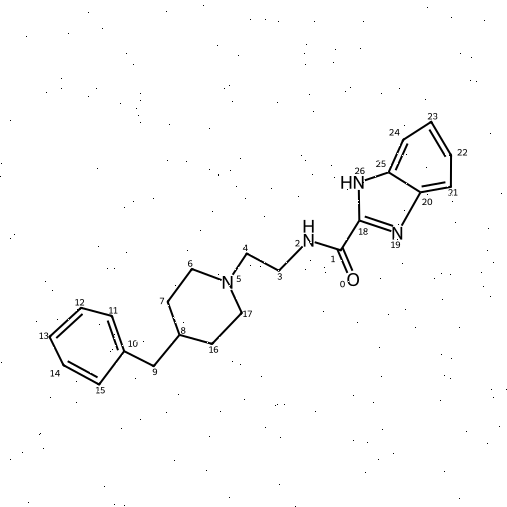 O=C(NCCN1CCC(Cc2ccccc2)CC1)c1nc2ccccc2[nH]1